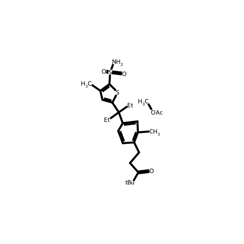 CCC(CC)(c1ccc(CCC(=O)C(C)(C)C)c(C)c1)c1cc(C)c(S(N)(=O)=O)s1.COC(C)=O